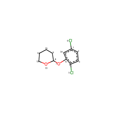 Clc1ccc(Cl)c(OC2CCCCO2)c1